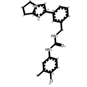 Cc1cc(NC(=O)NCc2cccc(-c3cn4c(n3)CCC4)c2)ccc1Cl